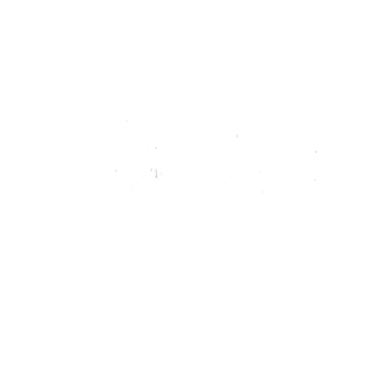 CC1(C)OB(c2cccc(C(=O)c3ccccc3)c2)OC1(C)C